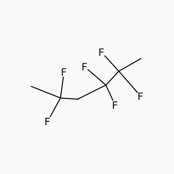 CC(F)(F)CC(F)(F)C(C)(F)F